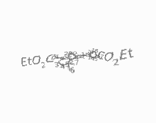 CCOC(=O)C=C1CCC(C)(C)c2cc(C#Cc3ccc(C(=O)OCC)cc3)ccc21